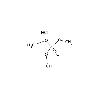 COP(=O)(OC)OC.Cl